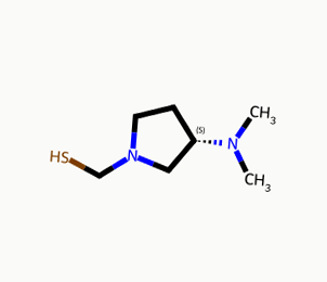 CN(C)[C@H]1CCN(CS)C1